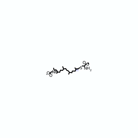 COC(=O)CNC(C)CC(C)CCCC(C)CCCC(C)CCC/C(C)=C/CSCC(N)C(=O)OC